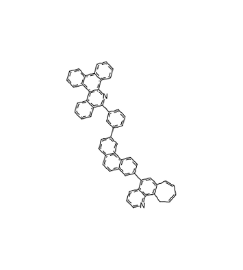 C1=CCc2c(cc(-c3ccc4c(ccc5ccc(-c6cccc(-c7nc8c9ccccc9c9ccccc9c8c8ccccc78)c6)cc54)c3)c3cccnc23)C=C1